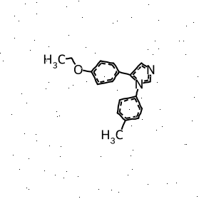 CCOc1ccc(-c2cncn2-c2ccc(C)cc2)cc1